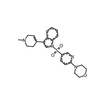 CN1CC=C(c2cn(S(=O)(=O)c3ccc(N4CCOCC4)nc3)c3ccccc23)CC1